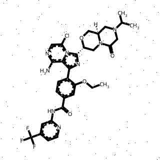 CCOc1cc(C(=O)Nc2cc(C(F)(F)F)ccn2)ccc1-c1nc([C@H]2CN3C(=O)CN(C(C)C)C[C@@H]3CO2)n2c(Cl)cnc(N)c12